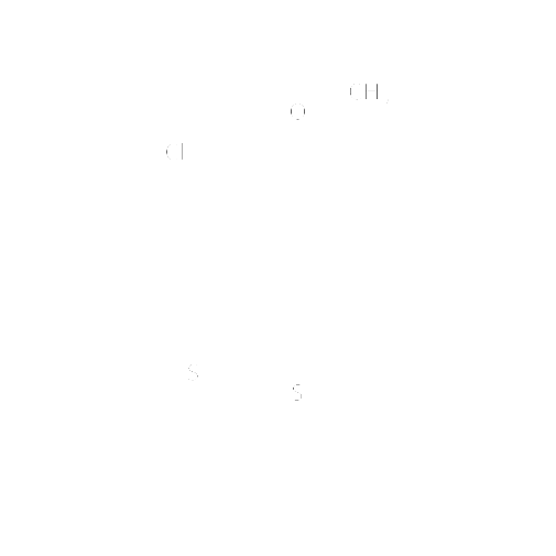 COc1ccc(C2SCCCS2)cc1Cl